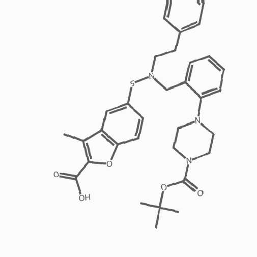 Cc1c(C(=O)O)oc2ccc(SN(CCc3ccccc3)Cc3ccccc3N3CCN(C(=O)OC(C)(C)C)CC3)cc12